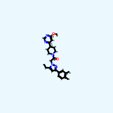 CCc1cc(-c2ccc(C)c(C)c2)nn1CC(=O)N1CCC(c2cc(OC)ncn2)CC1